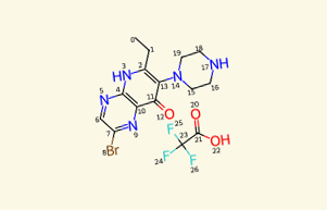 CCc1[nH]c2ncc(Br)nc2c(=O)c1N1CCNCC1.O=C(O)C(F)(F)F